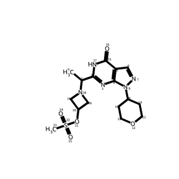 CC(c1nc2c(cnn2C2CCOCC2)c(=O)[nH]1)N1CC(OS(C)(=O)=O)C1